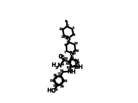 CC1CCN(C2CCN(c3n[nH]c(NCc4ccc(O)cc4)c3C(N)=O)CC2)CC1